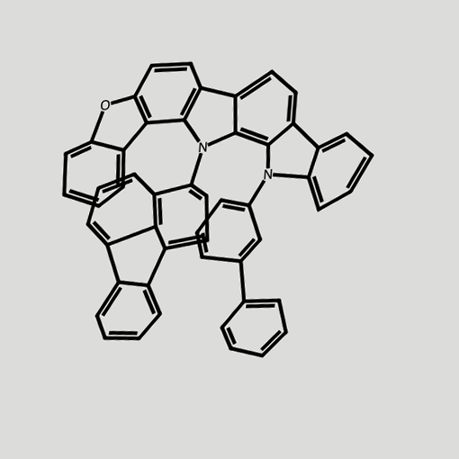 c1ccc(-c2cccc(-n3c4ccccc4c4ccc5c6ccc7oc8ccccc8c7c6n(-c6ccc7c8c(cccc68)-c6ccccc6-7)c5c43)c2)cc1